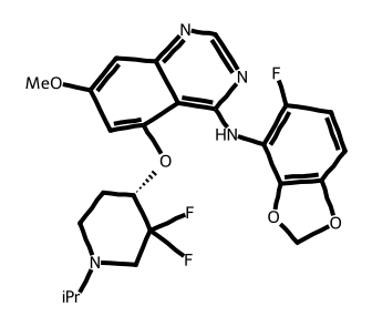 COc1cc(O[C@H]2CCN(C(C)C)CC2(F)F)c2c(Nc3c(F)ccc4c3OCO4)ncnc2c1